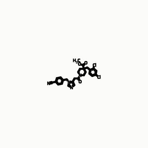 COC(=O)C1(Cc2ccc(Cl)cc2Cl)CCN(C(=O)Cc2cncn2Cc2ccc(C#N)cc2)CC1